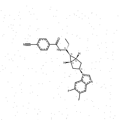 CC[C@@H](NC(=O)c1ccc(C#N)cc1)[C@H]1[C@@H]2C[C@@H](n3cnc4cc(F)c(F)cc43)C[C@@H]21